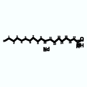 CCCCCCCCCCCCCCCCCC[PH](=O)O.[Nd]